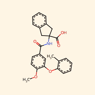 COc1ccc(C(=O)NC2(C(=O)O)Cc3ccccc3C2)cc1Oc1ccccc1C